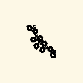 C1=Cc2c(n(-c3ccc4oc5ccccc5c4c3)c3ccc4c5ccc6c(c7ccccc7n6-c6ccc7sc8ccccc8c7c6)c5n(-c5ccccc5)c4c23)CC1